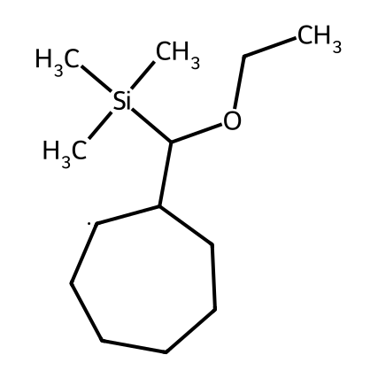 CCOC(C1[CH]CCCCC1)[Si](C)(C)C